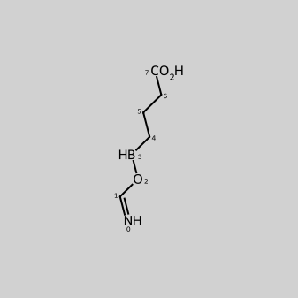 N=COBCCCC(=O)O